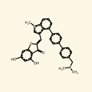 CN(C)Cc1ccc(-c2ccc(-c3cccc4c3c(C=C3Oc5cc(O)cc(O)c5C3=O)cn4C)cc2)cc1